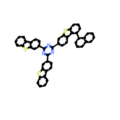 c1ccc2c(-c3cccc4sc5cc(-c6nc(-c7ccc8c(c7)sc7ccccc78)nc(-c7ccc8c(c7)sc7ccccc78)n6)ccc5c34)cccc2c1